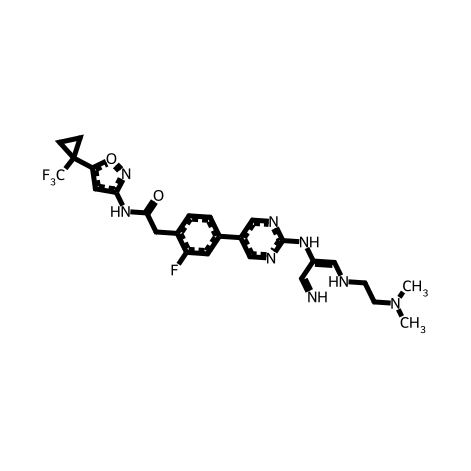 CN(C)CCN/C=C(\C=N)Nc1ncc(-c2ccc(CC(=O)Nc3cc(C4(C(F)(F)F)CC4)on3)c(F)c2)cn1